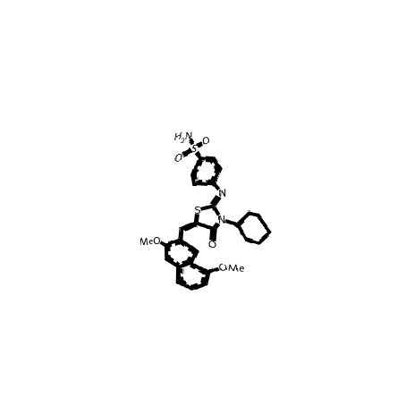 COc1cc2cccc(OC)c2cc1C=C1S/C(=N\c2ccc(S(N)(=O)=O)cc2)N(C2CCCCC2)C1=O